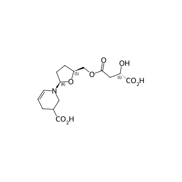 O=C(C[C@H](O)C(=O)O)OC[C@@H]1CC[C@H](N2C=CCC(C(=O)O)C2)O1